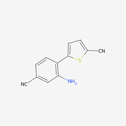 N#Cc1ccc(-c2ccc(C#N)s2)c(N)c1